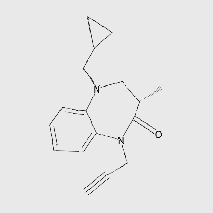 C#CCN1C(=O)[C@@H](C)CN(CC2CC2)c2ccccc21